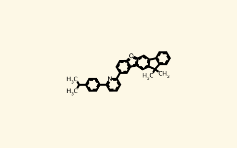 CC(C)c1ccc(-c2cccc(-c3ccc4oc5cc6c(cc5c4c3)C(C)(C)c3ccccc3-6)n2)cc1